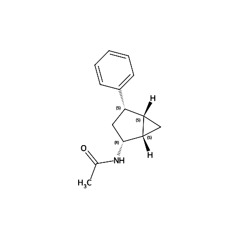 CC(=O)N[C@@H]1C[C@H](c2ccccc2)[C@@H]2C[C@@H]21